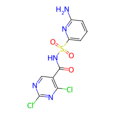 Nc1cccc(S(=O)(=O)NC(=O)c2cnc(Cl)nc2Cl)n1